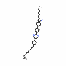 CCCCCCCCCC1CCC(c2cnc(-c3ccc(C4CCC(C#N)(CCCCCCCC)CC4)cc3)nc2)CC1